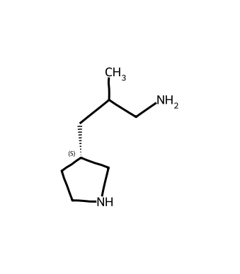 CC(CN)C[C@H]1CCNC1